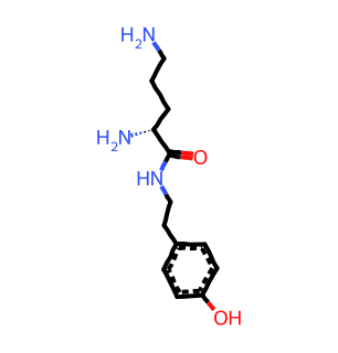 NCCC[C@@H](N)C(=O)NCCc1ccc(O)cc1